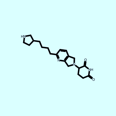 O=C1CCC(N2Cc3ccc(CCCCC4CCNC4)nc3C2)C(=O)N1